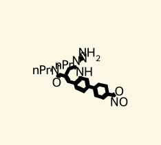 CCCN(CCC)C(=O)C1=Cc2ccc(C3=CC=C(C(=O)N=O)CC3)cc2NC(N=NN)C1